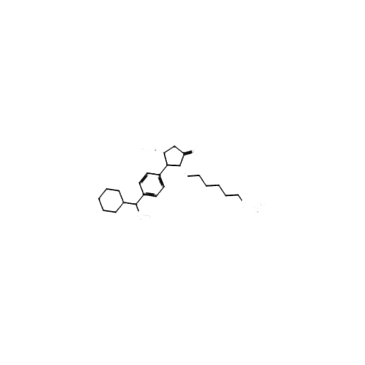 O=C(O)CCCCCC[C@H]1C(=O)C[C@@H](O)C1c1ccc(C(O)C2CCCCC2)cc1